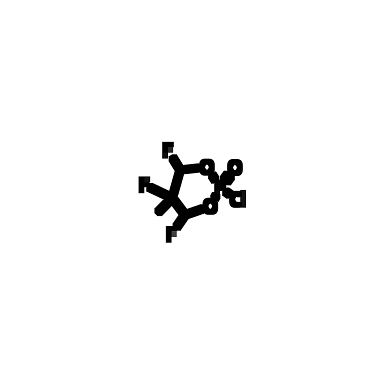 CC1(F)C(F)OP(=O)(Cl)OC1F